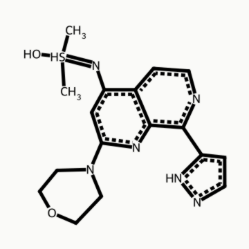 C[SH](C)(O)=Nc1cc(N2CCOCC2)nc2c(-c3ccn[nH]3)nccc12